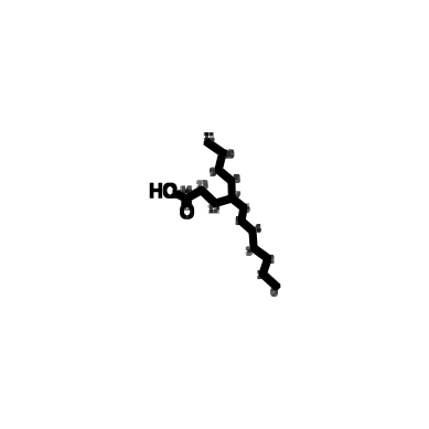 CCCCCCCC(CCCC)CCC(=O)O